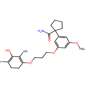 CCCCOc1cc(OCCCOC2=C(CCC)C(O)=C(C(C)=O)CC2)cc(C2(C(N)=O)CCCC2)c1